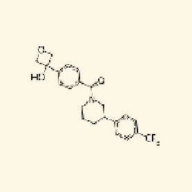 O=C(c1ccc(C2(O)COC2)cc1)N1CCCC(c2ccc(C(F)(F)F)cc2)C1